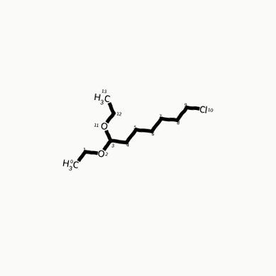 CCOC(CCCCCCCl)OCC